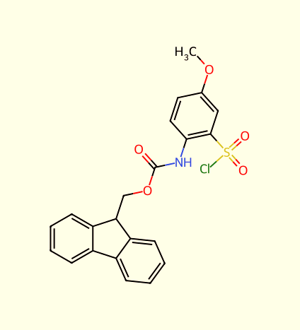 COc1ccc(NC(=O)OCC2c3ccccc3-c3ccccc32)c(S(=O)(=O)Cl)c1